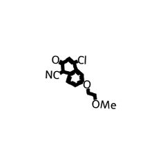 COCCOc1ccc2c(c1)C(Cl)=CC(=O)C2C#N